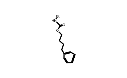 [CH2]CNC(=O)OCCCCc1ccccc1